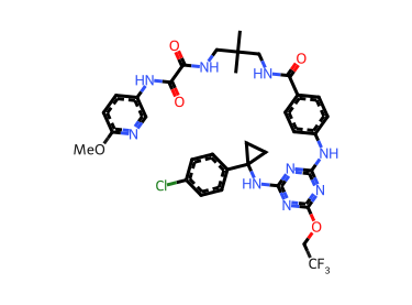 COc1ccc(NC(=O)C(=O)NCC(C)(C)CNC(=O)c2ccc(Nc3nc(NC4(c5ccc(Cl)cc5)CC4)nc(OCC(F)(F)F)n3)cc2)cn1